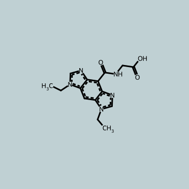 CCn1cnc2c(C(=O)NCC(=O)O)c3ncn(CC)c3cc21